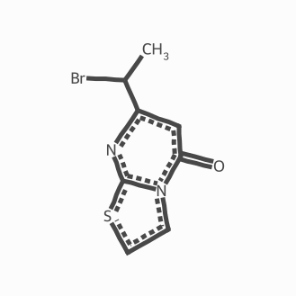 CC(Br)c1cc(=O)n2ccsc2n1